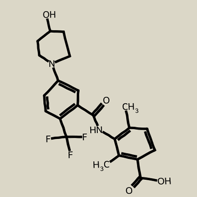 Cc1ccc(C(=O)O)c(C)c1NC(=O)c1cc(N2CCC(O)CC2)ccc1C(F)(F)F